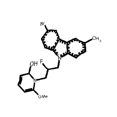 COC1=CC=CC(O)N1CC(F)Cn1c2ccc(C)cc2c2cc(Br)ccc21